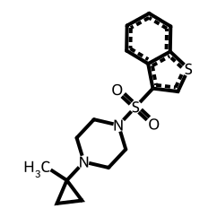 CC1(N2CCN(S(=O)(=O)c3csc4ccccc34)CC2)CC1